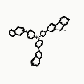 CC1(C)c2ccccc2-c2ccc(-c3ccc(N(c4ccc(-c5ccc6ccccc6c5)cc4)c4ccc(-c5ccc6ccccc6c5)cc4)cc3)cc21